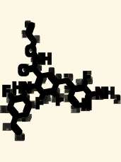 C=CCONC(=O)c1cc(Cc2ccnc(N)c2F)c(F)c(F)c1Nc1ccc(C=C)cc1F